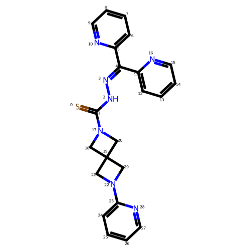 S=C(NN=C(c1ccccn1)c1ccccn1)N1CC2(C1)CN(c1ccccn1)C2